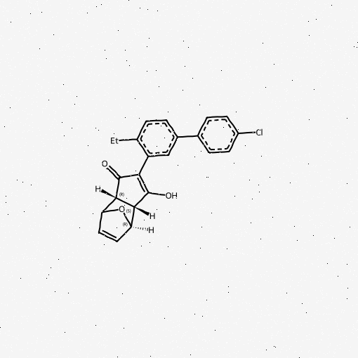 CCc1ccc(-c2ccc(Cl)cc2)cc1C1=C(O)[C@@H]2[C@H]3C=CC(O3)[C@@H]2C1=O